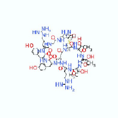 C[C@@H](O)[C@@H]1NC(=O)[C@H](CSCC(N)=O)NC(=O)C[C@@H](C(=O)N[C@@H](Cc2ccc(O)cc2)C(=O)N[C@@H](Cc2ccc(O)cc2)C(=O)N[C@@H](CCCNC(=N)N)C(=O)NCC(=O)NCC(=O)O)NC(=O)[C@H](CCCNC(=N)N)NC(=O)[C@H]([C@@H](C)O)NC(=O)[C@H]([C@@H](C)O)NC1=O